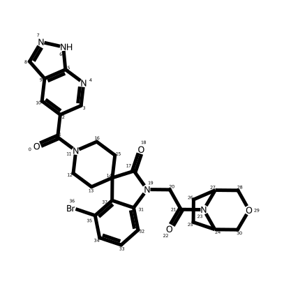 O=C(c1cnc2[nH]ncc2c1)N1CCC2(CC1)C(=O)N(CC(=O)N1C3CCC1COC3)c1cccc(Br)c12